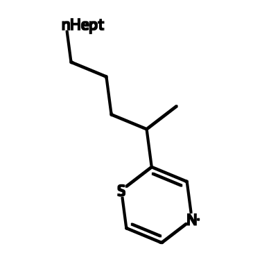 CCCCCCCCCCC(C)C1=C[N]C=CS1